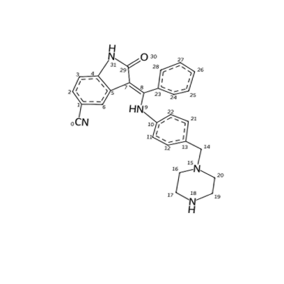 N#Cc1ccc2c(c1)C(=C(Nc1ccc(CN3CCNCC3)cc1)c1ccccc1)C(=O)N2